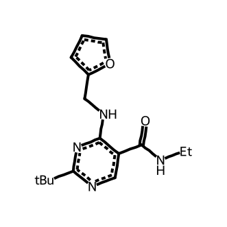 CCNC(=O)c1cnc(C(C)(C)C)nc1NCc1ccco1